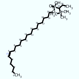 CCCCC/C=C\CCCCCCCCCCCCCCOP(=O)(O)C(CC)[N+](C)(C)C